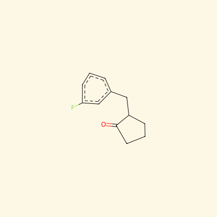 O=C1CCCC1Cc1cccc(F)c1